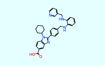 O=C(O)c1ccc2c(c1)nc(-c1ccc(CNc3ccccc3NCc3cccnc3)cc1)n2C1CCCCC1